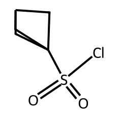 O=S(=O)(Cl)C12CC(C1)C2